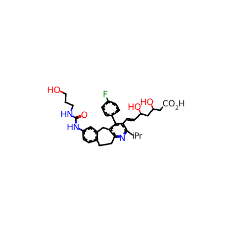 CC(C)c1nc2c(c(-c3ccc(F)cc3)c1/C=C/[C@@H](O)C[C@@H](O)CC(=O)O)Cc1cc(NC(=O)NCCCO)ccc1CC2